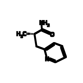 C[C@@H](Cc1ccccn1)C(N)=O